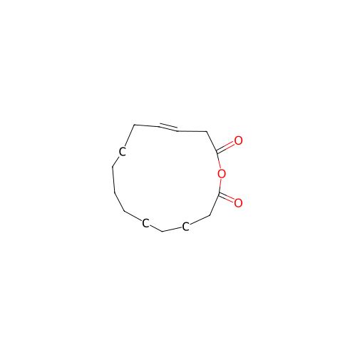 O=C1C/C=C/CCCCCCCCCC(=O)O1